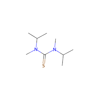 CC(C)N(C)C(=S)N(C)C(C)C